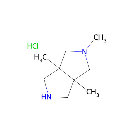 CN1CC2(C)CNCC2(C)C1.Cl